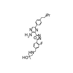 CC(C)CCc1ccc(-c2cnc(N)c(-c3nnc(-c4ccc(CNCC(C)(C)O)cc4F)o3)n2)cc1